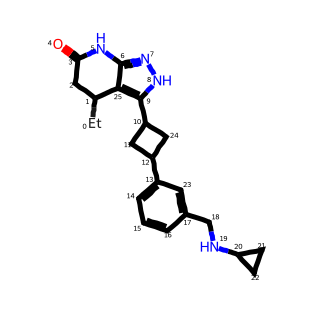 CCC1CC(=O)Nc2n[nH]c(C3CC(c4cccc(CNC5CC5)c4)C3)c21